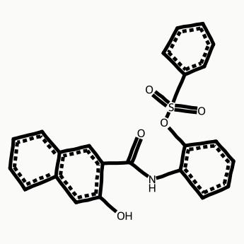 O=C(Nc1ccccc1OS(=O)(=O)c1ccccc1)c1cc2ccccc2cc1O